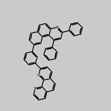 c1ccc(-c2cc(-c3ccccc3)c3c(ccc4ccc(-c5cccc(-c6ccc7ccc8cccnc8c7n6)c5)cc43)n2)cc1